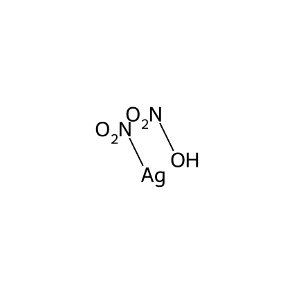 O=[N+]([O-])O.O=[N+]([O-])[Ag]